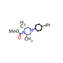 COC(=O)N1[C@H](C)CN(c2ccc(C(C)C)cc2)C[C@H]1C